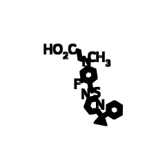 CN(CCC(=O)O)c1ccc(-c2nc3ccc(C4(c5ccccc5)CC4)nc3s2)c(F)c1